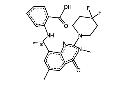 Cc1cc([C@H](C)Nc2ccccc2C(=O)O)c2nc(N3CCC(F)(F)CC3)n(C)c(=O)c2c1